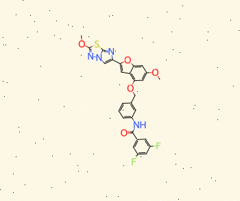 COc1cc(OCc2cccc(NC(=O)c3cc(F)cc(F)c3)c2)c2cc(-c3cn4nc(OC)sc4n3)oc2c1